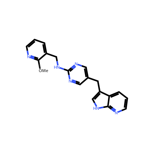 COc1ncccc1CNc1ncc(Cc2c[nH]c3ncccc23)cn1